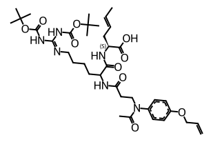 C=CCOc1ccc(N(CCC(=O)NC(CCCCN=C(NC(=O)OC(C)(C)C)NC(=O)OC(C)(C)C)C(=O)N[C@@H](CC=CC)C(=O)O)C(C)=O)cc1